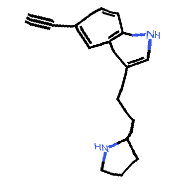 C#Cc1ccc2[nH]cc(CCC3CCCN3)c2c1